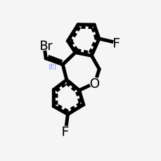 Fc1ccc2c(c1)OCc1c(F)cccc1/C2=C\Br